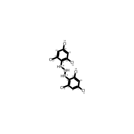 Clc1cc(Cl)c(NNNc2c(Cl)cc(Cl)cc2Cl)c(Cl)c1